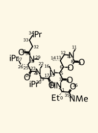 CC[C@H](NC(=O)[C@H]([C@@H]1OC(=O)N(C)C[C@H]1C)N(C)C(=O)[C@H](C(C)C)N(C)C(=O)[C@H](CC(C)C)N(C)C(=O)CCC(C)C)C(=O)NC